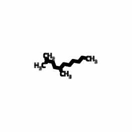 C=C(C)CCC(C)CCCCCC